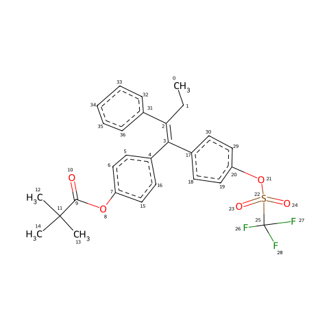 CCC(=C(c1ccc(OC(=O)C(C)(C)C)cc1)c1ccc(OS(=O)(=O)C(F)(F)F)cc1)c1ccccc1